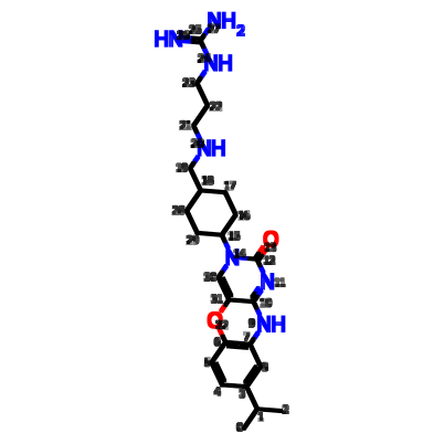 CC(C)c1ccc2c(c1)Nc1nc(=O)n(C3CCC(CNCCCNC(=N)N)CC3)cc1O2